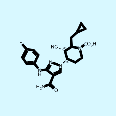 N#C[C@@H]1C(CC2CC2)N(C(=O)O)CC[C@@H]1n1cc(C(N)=O)c(Nc2ccc(F)cc2)n1